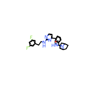 CCNC1CC2CCC(C1)N2Cc1cccc(-c2ccnc(NCCc3cc(F)cc(F)c3)n2)c1